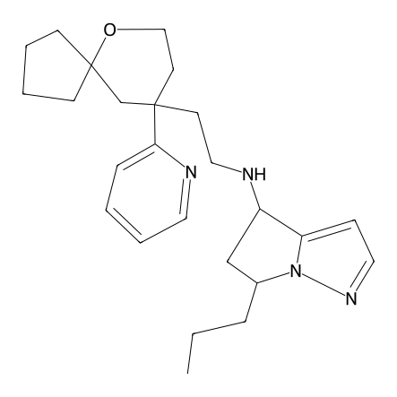 CCCC1CC(NCCC2(c3ccccn3)CCOC3(CCCC3)C2)c2ccnn21